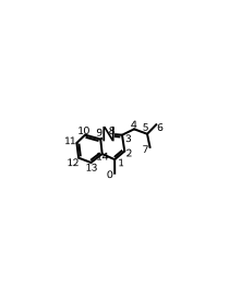 Cc1cc(CC(C)C)nc2ccccc12